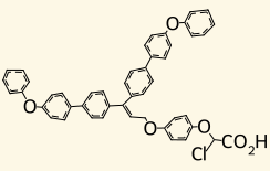 O=C(O)C(Cl)Oc1ccc(OCC=C(c2ccc(-c3ccc(Oc4ccccc4)cc3)cc2)c2ccc(-c3ccc(Oc4ccccc4)cc3)cc2)cc1